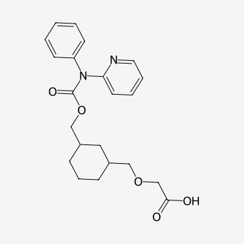 O=C(O)COCC1CCCC(COC(=O)N(c2ccccc2)c2ccccn2)C1